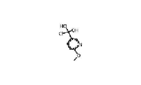 COc1ccc(C(O)(O)Cl)cn1